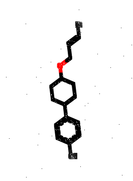 CC/C=C/COC1CCC(c2ccc(C#N)cc2)CC1